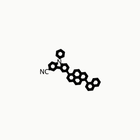 N#Cc1ccc2c(c1)c1cc(-c3ccc4ccc5c(-c6cccc7ccccc67)ccc6ccc3c4c65)ccc1n2-c1ccccc1